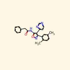 Cc1ccc(C)c(-c2noc(NC(=O)Cc3ccccc3)c2-c2ccncn2)c1